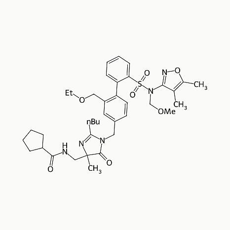 CCCCC1=NC(C)(CNC(=O)C2CCCC2)C(=O)N1Cc1ccc(-c2ccccc2S(=O)(=O)N(COC)c2noc(C)c2C)c(COCC)c1